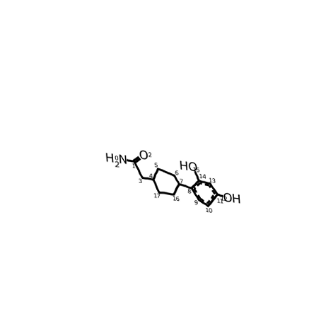 NC(=O)CC1CCC(c2ccc(O)cc2O)CC1